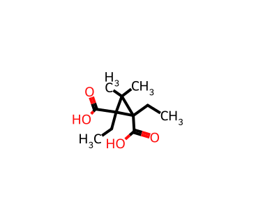 CCC1(C(=O)O)C(C)(C)C1(CC)C(=O)O